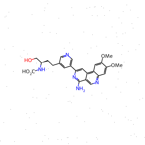 COc1cc2ncc3c(N)nc(-c4cncc(CC[C@H](CO)NC(=O)O)c4)cc3c2cc1OC